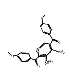 COc1ccc(C(=O)c2cnc(C(=O)c3ccc(OC)cc3)c(N)c2N)cc1